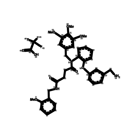 COc1ccccc1CNC(=O)CCC(=O)N(Cc1cc(OC)c(OC)c(OC)c1)c1ccccc1Oc1cccc(CN)c1.O=C(O)C(F)(F)F